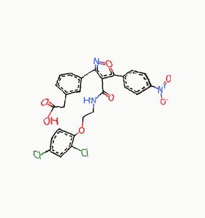 O=C(O)Cc1cccc(-c2noc(-c3ccc([N+](=O)[O-])cc3)c2C(=O)NCCOc2ccc(Cl)cc2Cl)c1